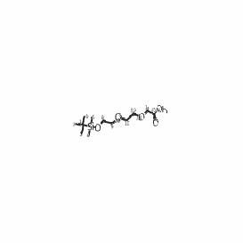 CC(C)(C)[Si](C)(C)OCCOCCOCC(=O)O